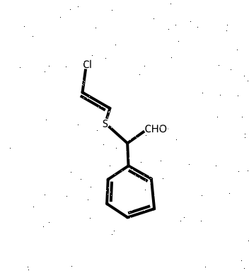 O=[C]C(SC=CCl)c1ccccc1